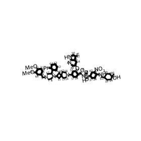 COc1ccc(CN2CCN(C3CC4(CCN(c5ccc(C(=O)NS(=O)(=O)c6ccc(NCC7CCC(C)(O)CC7)c([N+](=O)[O-])c6)c(Oc6cnc7[nH]cc(F)c7c6)c5)CC4)C3)C(c3ccccc3C(C)C)C2)cc1OC